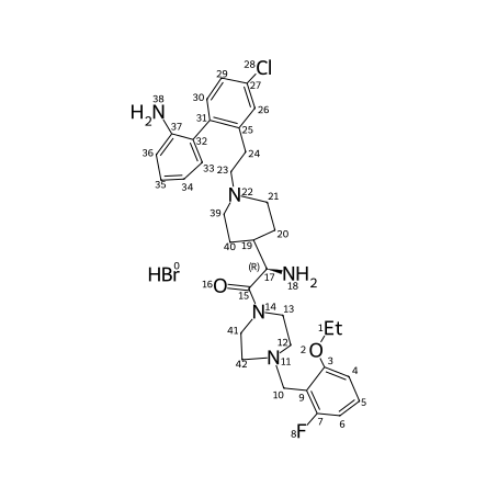 Br.CCOc1cccc(F)c1CN1CCN(C(=O)[C@H](N)C2CCN(CCc3cc(Cl)ccc3-c3ccccc3N)CC2)CC1